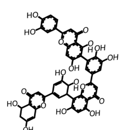 O=c1cc(C2=CC(c3c(O)cc(O)c4c(=O)cc(-c5cc(O)c(O)c(-c6c(O)cc7oc(-c8ccc(O)c(O)c8)cc(=O)c7c6O)c5)oc34)C(O)C(O)=C2)oc2c1C(O)CC(O)=C2